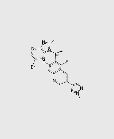 Cc1nc2ncc(Br)nc2n1[C@@H](C)c1c(F)cc2ncc(-c3cnn(C)c3)cc2c1F